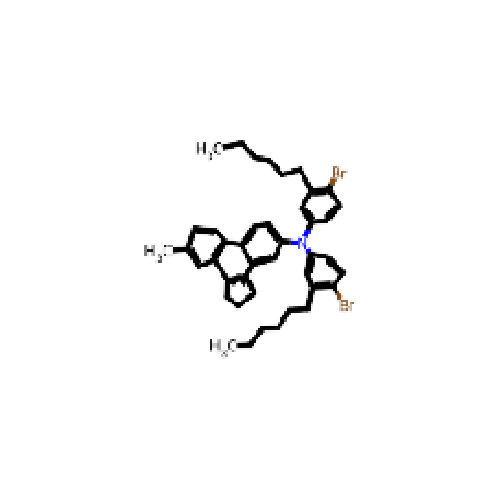 CCCCCCc1cc(N(c2ccc(Br)c(CCCCCC)c2)c2ccc3c(c2)C24CCCC2(CCC4)c2cc(C)ccc2-3)ccc1Br